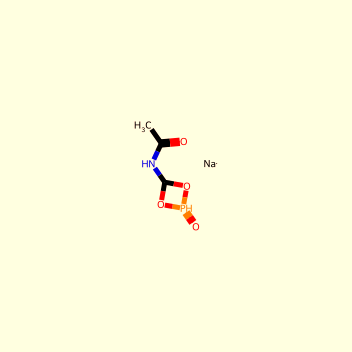 CC(=O)NC1O[PH](=O)O1.[Na]